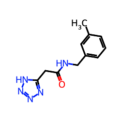 Cc1cccc(CNC(=O)Cc2nnn[nH]2)c1